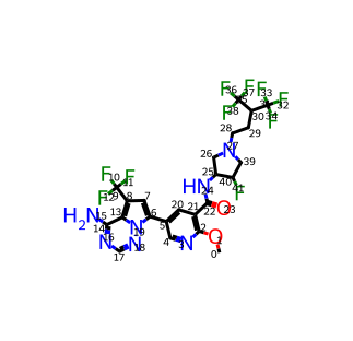 COc1ncc(-c2cc(C(F)(F)F)c3c(N)ncnn23)cc1C(=O)NC1CN(CCC(C(F)(F)F)C(F)(F)F)CC1F